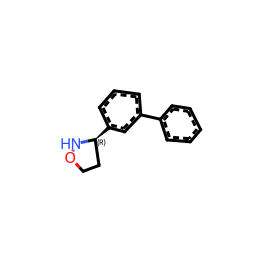 c1ccc(-c2cccc([C@H]3CCON3)c2)cc1